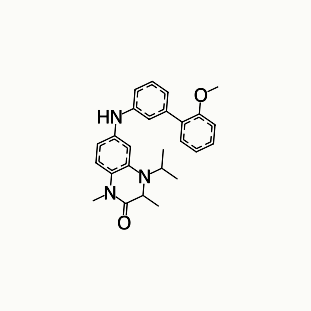 COc1ccccc1-c1cccc(Nc2ccc3c(c2)N(C(C)C)C(C)C(=O)N3C)c1